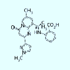 Cc1cc([C@@H](C)Nc2ccccc2C(=O)O)c2nc(-c3ccn(C)n3)cc(=O)n2c1